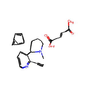 C#Cc1ncccc1C1CCCN1C.O=C(O)C=CC(=O)O.c1cc2cc-2c1